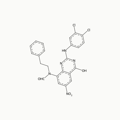 O=CN(CCc1ccccc1)c1cc([N+](=O)[O-])cc2c(O)nc(Nc3ccc(Cl)c(Cl)c3)nc12